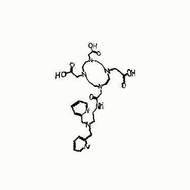 O=C(O)CN1CCN(CC(=O)O)CCN(CC(=O)NCCN(Cc2ccccn2)Cc2ccccn2)CCN(CC(=O)O)CC1